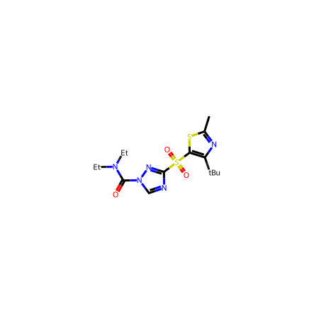 CCN(CC)C(=O)n1cnc(S(=O)(=O)c2sc(C)nc2C(C)(C)C)n1